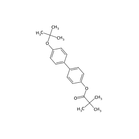 CC(C)(C)Oc1ccc(-c2ccc(OC(=O)C(C)(C)C)cc2)cc1